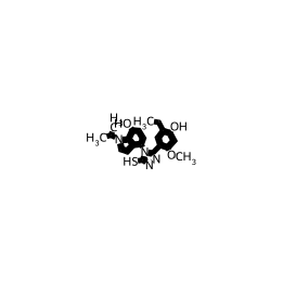 CCc1cc(-c2nnc(S)n2-c2ccc(O)c3c2ccn3C(C)C)c(OC)cc1O